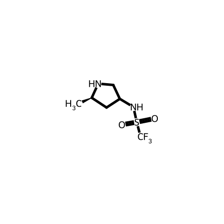 C[C@@H]1CC(NS(=O)(=O)C(F)(F)F)CN1